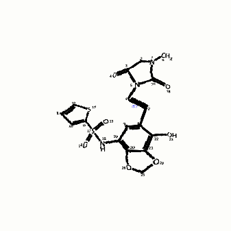 CN1CC(=O)N(/C=C/c2cc(NS(=O)(=O)c3cccs3)c3c(c2O)OCO3)C1=O